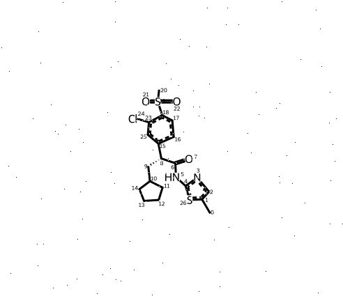 Cc1cnc(NC(=O)[C@H](CC2CCCC2)c2ccc(S(C)(=O)=O)c(Cl)c2)s1